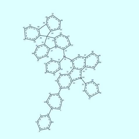 c1ccc(-c2ccc(-c3ccc4c5c(N(c6ccccc6)c6cccc7c6-c6ccccc6C76c7ccccc7-c7ccccc76)cc6ccccc6c5n(-c5ccccc5)c4c3)cc2)cc1